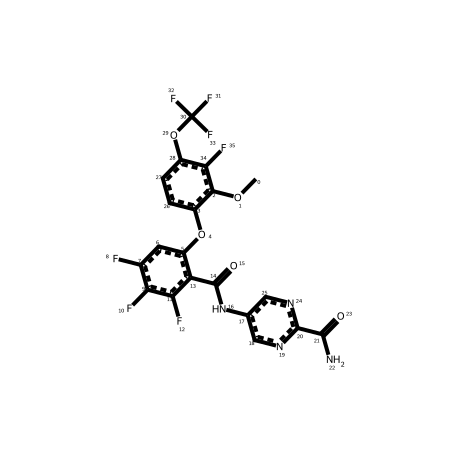 COc1c(Oc2cc(F)c(F)c(F)c2C(=O)Nc2cnc(C(N)=O)nc2)ccc(OC(F)(F)F)c1F